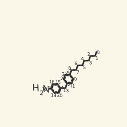 CCCCCCCCCc1ccc(Cc2ccc(N)cc2)cc1